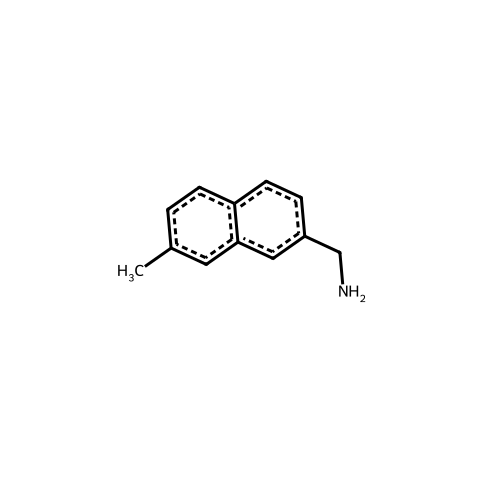 Cc1ccc2ccc(CN)cc2c1